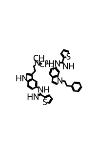 CN(C)CCc1c[nH]c2ccc(NC(=N)c3cccs3)cc12.N=C(Nc1ccc2ccn(CCc3ccccc3)c2c1)c1cccs1